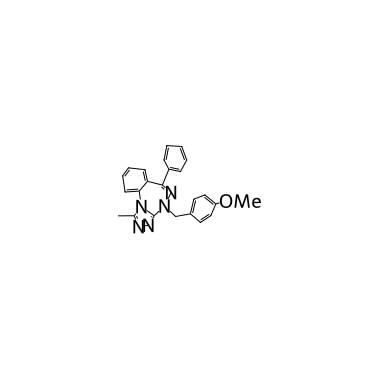 COc1ccc(CN2N=C(c3ccccc3)c3ccccc3-n3c(C)nnc32)cc1